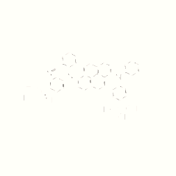 C[Si](C)(C)c1ccc(N(c2ccccc2)c2ccc3ccc4c(N(c5ccc([Si](C)(C)C)cc5)c5ccccc5C#N)ccc5ccc2c3c54)cc1